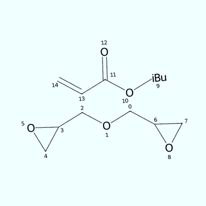 C(OCC1CO1)C1CO1.[CH2]CC(C)OC(=O)C=C